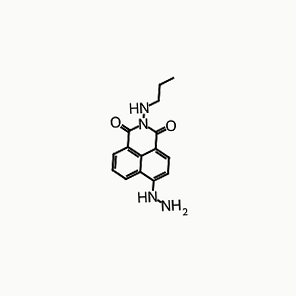 CCCNN1C(=O)c2cccc3c(NN)ccc(c23)C1=O